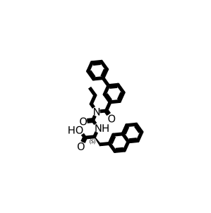 CCCN(C(=O)N[C@@H](Cc1ccc2ccccc2c1)C(=O)O)C(=O)c1cccc(-c2ccccc2)c1